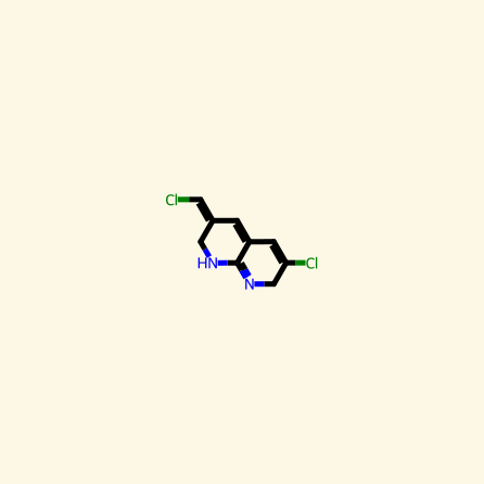 Cl/C=C1/C=C2C=C(Cl)CN=C2NC1